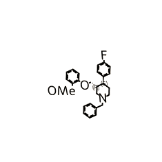 COc1ccccc1OC[C@H]1CN(Cc2ccccc2)CC[C@@H]1c1ccc(F)cc1